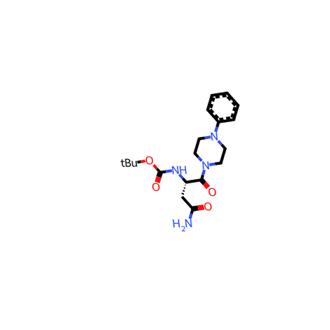 CC(C)(C)OC(=O)N[C@@H](CC(N)=O)C(=O)N1CCN(c2ccccc2)CC1